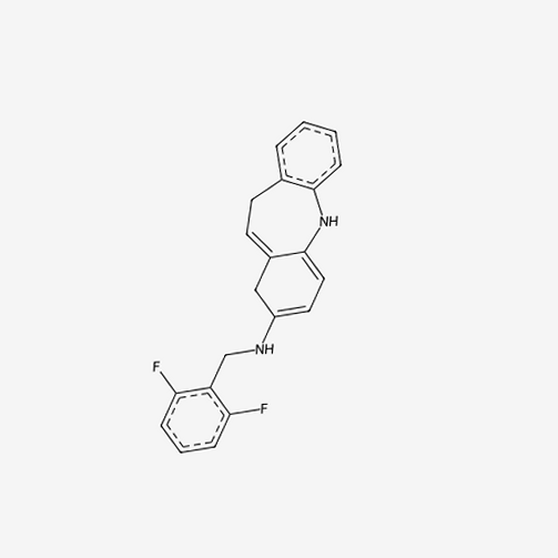 Fc1cccc(F)c1CNC1=CC=C2Nc3ccccc3CC=C2C1